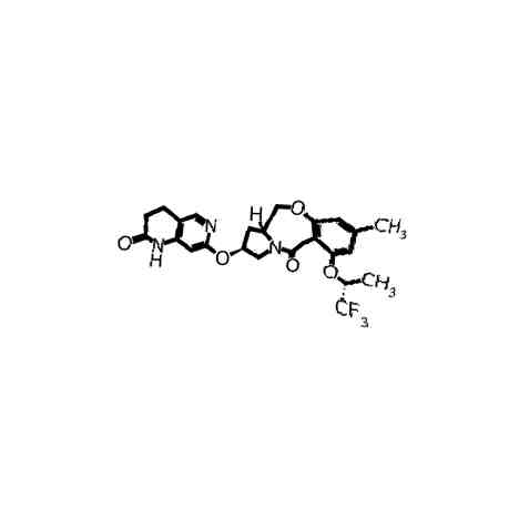 Cc1cc2c(c(O[C@H](C)C(F)(F)F)c1)C(=O)N1C[C@@H](Oc3cc4c(cn3)CCC(=O)N4)C[C@@H]1CO2